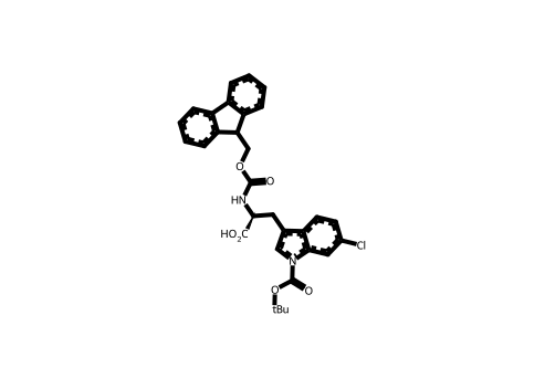 CC(C)(C)OC(=O)n1cc(C[C@H](NC(=O)OCC2c3ccccc3-c3ccccc32)C(=O)O)c2ccc(Cl)cc21